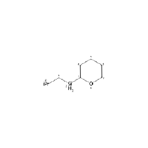 CC(C)C[SiH2]C1CCCCO1